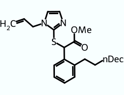 C=CCn1ccnc1SC(C(=O)OC)c1ccccc1CCCCCCCCCCCC